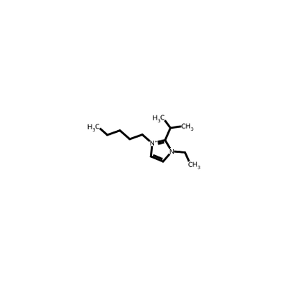 CCCCC[n+]1ccn(CC)c1C(C)C